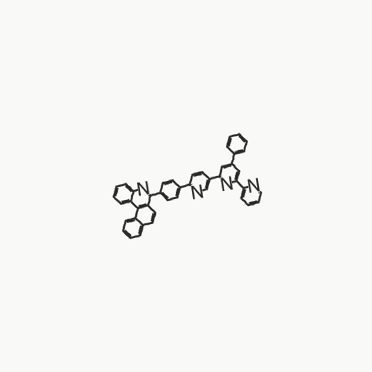 c1ccc(-c2cc(-c3ccc(-c4ccc(-c5nc6ccccc6c6c5ccc5ccccc56)cc4)nc3)nc(-c3ccccn3)c2)cc1